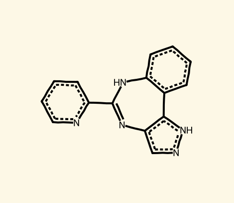 c1ccc(C2=Nc3cn[nH]c3-c3ccccc3N2)nc1